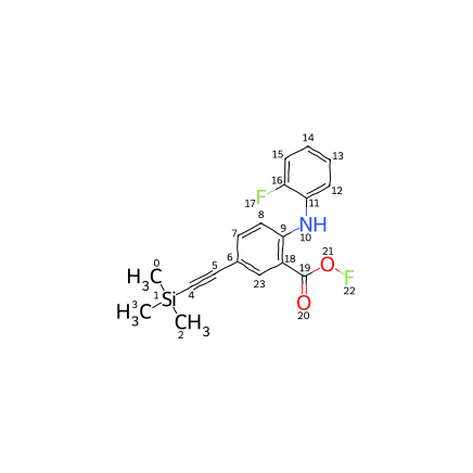 C[Si](C)(C)C#Cc1ccc(Nc2ccccc2F)c(C(=O)OF)c1